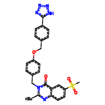 CCCCc1nc2ccc(S(C)(=O)=O)cc2c(=O)n1Cc1ccc(OCc2ccc(-c3nnn[nH]3)cc2)cc1